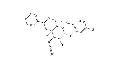 [N-]=[N+]=N[C@@H]1[C@@H](O)[C@@H](Sc2cc(Cl)cnc2Br)O[C@@H]2COC(c3ccccc3)O[C@H]12